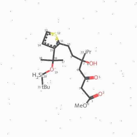 COC(=O)CC(=O)CC(O)(CCc1sccc1C(C)(C)O[SiH2]C(C)(C)C)C(C)C